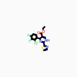 CCOC(=O)C1=CNC(c2nccs2)=NC1c1ccc(F)c(F)c1Cl